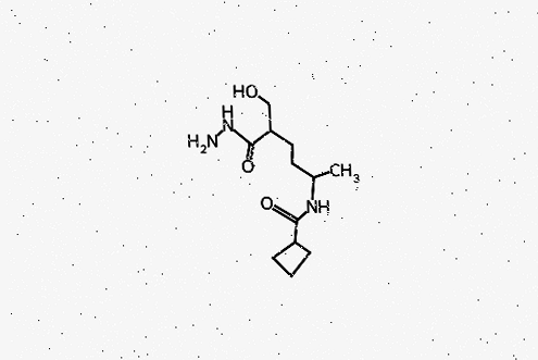 CC(CCC(CO)C(=O)NN)NC(=O)C1CCC1